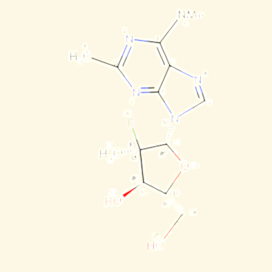 CNc1nc(C)nc2c1ncn2[C@@H]1O[C@H](CO)[C@@H](O)[C@@]1(C)F